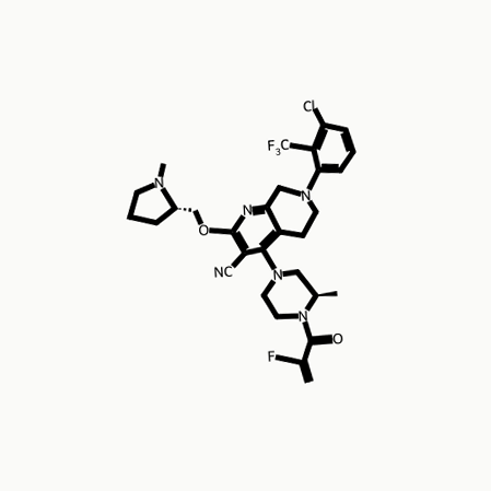 C=C(F)C(=O)N1CCN(c2c(C#N)c(OC[C@@H]3CCCN3C)nc3c2CCN(c2cccc(Cl)c2C(F)(F)F)C3)C[C@H]1C